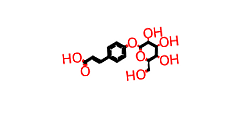 O=C(O)/C=C/c1ccc(O[C@@H]2O[C@H](CO)[C@H](O)[C@H](O)[C@H]2O)cc1